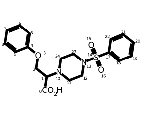 O=C(O)C(COc1ccccc1)N1CCN(S(=O)(=O)c2ccccc2)CC1